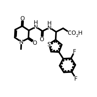 CN1C=CC(=O)C(NC(=O)NC(CC(=O)O)c2cc(-c3ccc(F)cc3F)cs2)C1=O